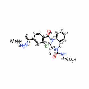 C=C(/N=N\NC)c1ccc(C(=O)N2C[C@@H](C)N(C(=O)NCC(=O)O)Cc3ccccc32)c(Cl)c1